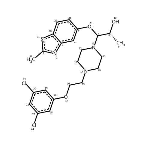 Cc1nc2cc(OC([C@@H](C)O)N3CCN(CCOc4cc(Cl)cc(Cl)c4)CC3)ccc2s1